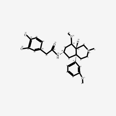 COc1cccc([C@@]23CCN(C)C[C@H]2C(OC)C[C@@H](NC(=O)Cc2ccc(Cl)c(Cl)c2)C3)c1